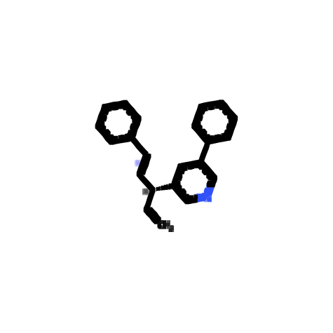 C=C[C@H](/C=C/c1ccccc1)c1cncc(-c2ccccc2)c1